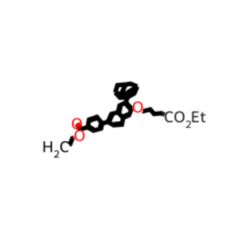 C=CCOC(=O)c1ccc(-c2ccc3cc(OCCCCC(=O)OCC)c(C45CC6CC(CC(C6)C4)C5)cc3c2)cc1